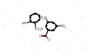 CCCc1ccccc1C(=O)O.O=C(Cl)c1cc([N+](=O)[O-])cc([N+](=O)[O-])c1